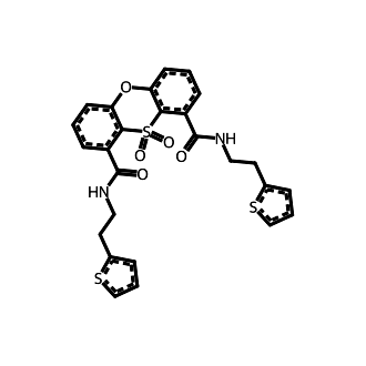 O=C(NCCc1cccs1)c1cccc2c1S(=O)(=O)c1c(cccc1C(=O)NCCc1cccs1)O2